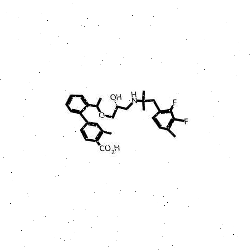 Cc1cc(-c2ccccc2C(C)OC[C@H](O)CNC(C)(C)Cc2ccc(C)c(F)c2F)ccc1C(=O)O